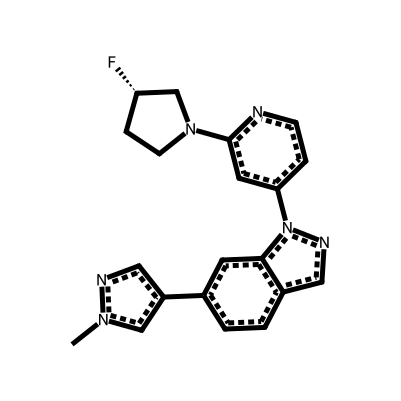 Cn1cc(-c2ccc3cnn(-c4ccnc(N5CC[C@H](F)C5)c4)c3c2)cn1